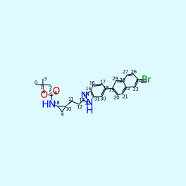 CC(C)(C)OC(=O)N[C@@H]1C[C@@H]1CCc1nc2ccc(-c3ccc4cc(Br)ccc4c3)cc2[nH]1